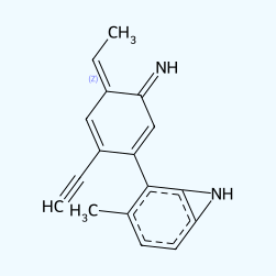 C#CC1=C/C(=C/C)C(=N)C=C1c1c(C)ccc2c1N2